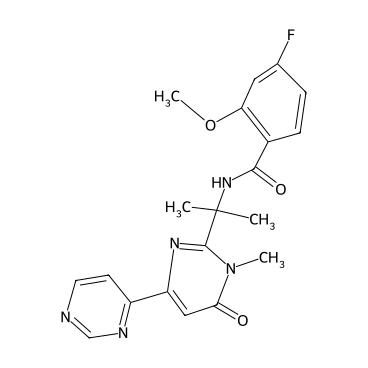 COc1cc(F)ccc1C(=O)NC(C)(C)c1nc(-c2ccncn2)cc(=O)n1C